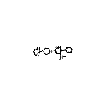 CN(C)c1cc(N2CCN(c3ncccn3)CC2)nnc1-c1ccccc1